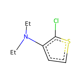 CCN(CC)c1ccsc1Cl